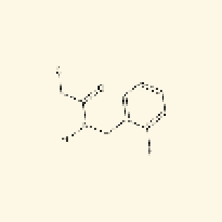 CCN(Cc1ccccc1F)C(=O)CCl